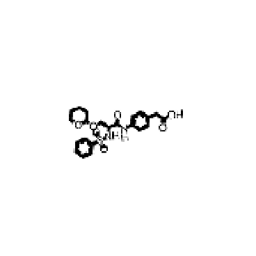 O=C(O)Cc1ccc(NC(=O)C(COC2CCCCO2)NS(=O)(=O)c2ccccc2)cc1